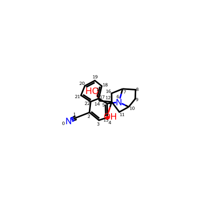 N#Cc1ccc(N2C3CCC2CC(O)(CO)C3)c2ccccc12